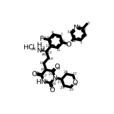 Cc1ccc(Oc2ccc(F)c([C@H](N)CCC3C(=O)NC(=O)N(C4CCOCC4)C3=O)c2)cn1.Cl